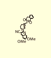 COc1cc2cc(C#N)c(N3CCCN(CCN4C(=O)Cc5ccccc5C4=O)CC3)nc2cc1OC